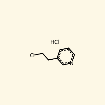 Cl.ClCCc1cccnc1